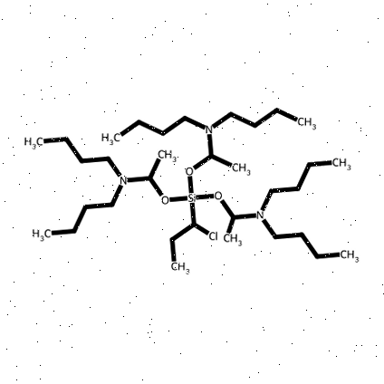 CCCCN(CCCC)C(C)O[Si](OC(C)N(CCCC)CCCC)(OC(C)N(CCCC)CCCC)C(Cl)CC